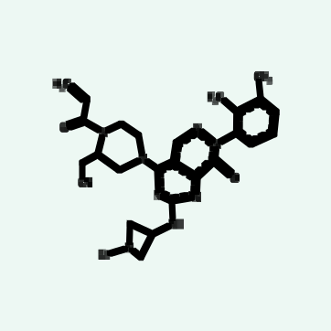 C=CC(=O)N1CCN(c2nc(NC3CN(CC)C3)nc3c(=O)n(-c4cccc(C)c4C(F)(F)F)ncc23)CC1CC#N